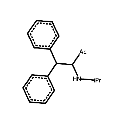 CC(=O)C(NC(C)C)C(c1ccccc1)c1ccccc1